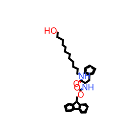 O=C(NC(Cc1ccccc1)C(=O)NCCCCCCCCCCCCO)OCC1c2ccccc2-c2ccccc21